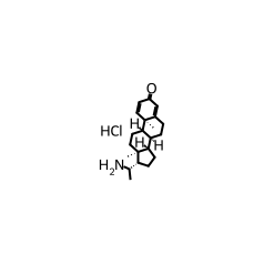 CC(N)[C@H]1CC[C@H]2[C@@H]3CCC4=CC(=O)C=C[C@]4(C)[C@H]3CC[C@]12C.Cl